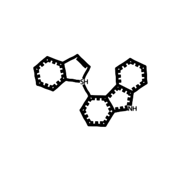 C1=C[SH](c2cccc3[nH]c4ccccc4c23)c2ccccc21